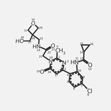 Cc1nc(-c2ccc(Cl)cc2NC(=O)C2CC2)cc(=O)n1CC(=O)NCC1(CO)COC1